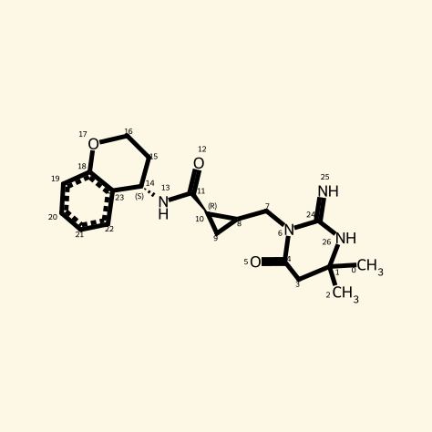 CC1(C)CC(=O)N(CC2C[C@H]2C(=O)N[C@H]2CCOc3ccccc32)C(=N)N1